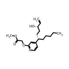 C=C[C@@H](O)CC[C@H](CCCCC)c1ccnc(OCC(=O)OC)c1